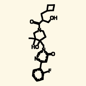 CC1(C)CN(C(=O)C(CO)CC2CCC2)CCC1(O)Cn1cnc(-c2ccccc2F)cc1=O